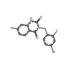 O=c1[nH]c2cc(I)ccc2c(=O)n1Cc1ccc(Br)cc1F